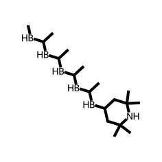 CBC(C)BC(C)BC(C)BC(C)BC1CC(C)(C)NC(C)(C)C1